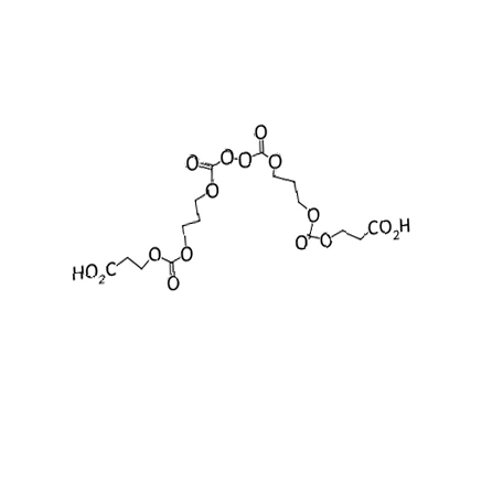 O=C(O)CCOC(=O)OCCCOC(=O)OOC(=O)OCCCOC(=O)OCCC(=O)O